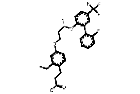 CCc1cc(OCC[C@H](C)Oc2ccc(C(F)(F)F)cc2-c2ccccc2F)ccc1CCC(=O)O